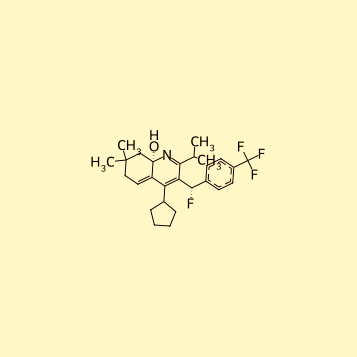 CC(C)C1=N[C@]2(O)CC(C)(C)CC=C2C(C2CCCC2)=C1[C@@H](F)c1ccc(C(F)(F)F)cc1